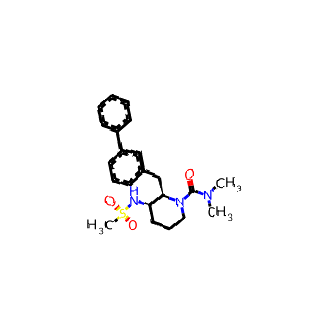 CN(C)C(=O)N1CCC[C@@H](NS(C)(=O)=O)[C@H]1Cc1cccc(-c2ccccc2)c1